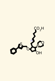 O=C(O)CCC/C=C/CC1C(OCc2cc(-c3ccccc3)cs2)CC(O)C1N1CCOCC1